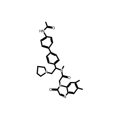 CC(=O)Nc1ccc(-c2ccc(C(CN3CCCC3)N(C)C(=O)Cn3c(=O)cnc4cc(C)c(C)cc43)cc2)cc1